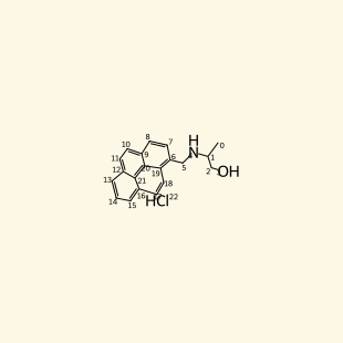 CC(CO)NCc1ccc2ccc3cccc4ccc1c2c34.Cl